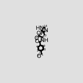 O=Cc1ccc(C(=O)N[C@@H](Cc2c[nH]cn2)C(=O)O)cc1